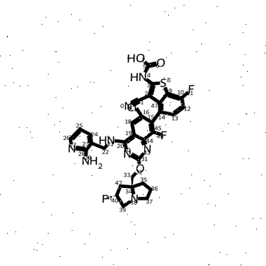 N#Cc1c(NC(=O)O)sc2c(F)ccc(-c3c(Cl)cc4c(NCc5cccnc5N)nc(OC[C@@]56CCCN5C[C@H](F)C6)nc4c3F)c12